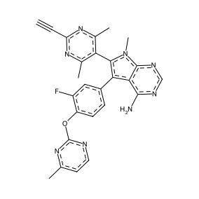 C#Cc1nc(C)c(-c2c(-c3ccc(Oc4nccc(C)n4)c(F)c3)c3c(N)ncnc3n2C)c(C)n1